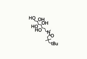 CN(CCC(O)C(O)C(O)C(O)CO)C(=O)CC(C)(C)CC(C)(C)C